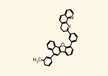 CC1C=C(c2cc3c4cccc(-c5cccc(C6=Nc7c(ccc8cccnc78)CC6)c5)c4oc3c3ccccc23)C=CC1